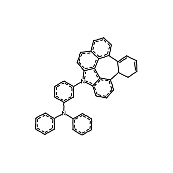 C1=CCC2C(=C1)c1cccc3ccc4c(c13)c1c2cccc1n4-c1cccc(N(c2ccccc2)c2ccccc2)c1